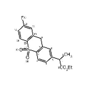 CCOC(=O)C(C)c1ccc2c(c1)Cc1cc(F)ccc1S2(=O)=O